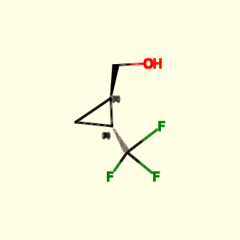 OC[C@@H]1C[C@H]1C(F)(F)F